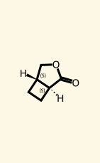 O=C1OC[C@H]2CC[C@H]12